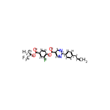 C=CCc1ccc(-c2ncc(C(=O)Oc3ccc(C(=O)OC(=C)C(F)(F)F)cc3F)cn2)cc1